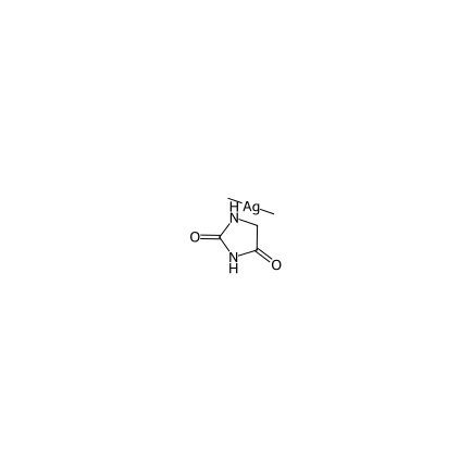 O=C1CNC(=O)N1.[CH3][Ag][CH3]